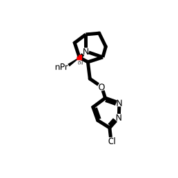 CCC[C@H]1CC2CCC(C1COc1ccc(Cl)nn1)N2C